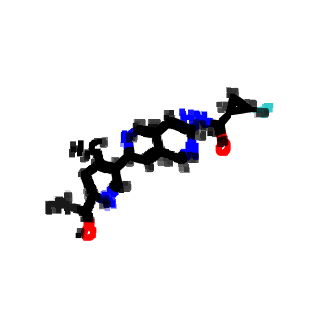 CCCC(=O)c1cc(C)c(-c2cc3cnc(NC(=O)[C@H]4C[C@H]4F)cc3cn2)cn1